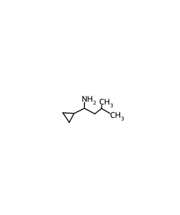 CC(C)CC(N)C1CC1